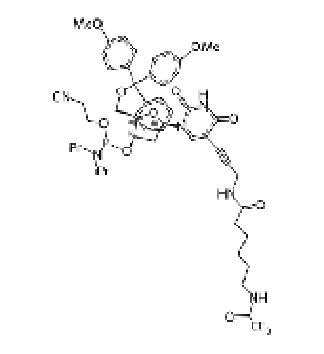 [C-]#[N+]CCOP(O[C@@H]1C[C@H](n2cc(C#CCNC(=O)CCCCCNC(=O)C(F)(F)F)c(=O)[nH]c2=O)O[C@@H]1COC(c1ccccc1)(c1ccc(OC)cc1)c1ccc(OC)cc1)N(C(C)C)C(C)C